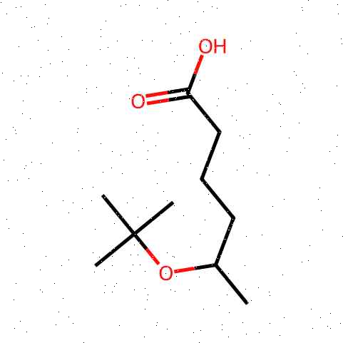 CC(CCCC(=O)O)OC(C)(C)C